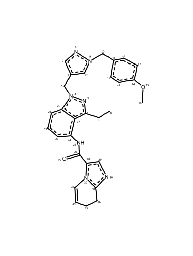 CCc1nn(Cc2cnn(Cc3ccc(OC)cc3)c2)c2cccc(NC(=O)c3cnc4n3C=CCC4)c12